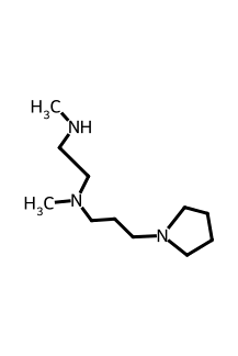 CNCCN(C)CCCN1CCCC1